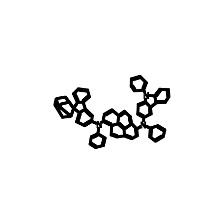 c1ccc(N(c2ccc3c(c2)-c2ccccc2C32C3CC4CC(C3)CC2C4)c2ccc3ccc4c(N(c5ccccc5)c5ccc6c(c5)c5ccccc5n6-c5ccccc5)ccc5ccc2c3c54)cc1